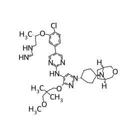 COCC(C)(C)COc1nn([C@H]2CC[C@H](N3[C@@H]4CC[C@H]3COC4)CC2)cc1Nc1ncc(-c2ccc(Cl)c(O[C@@H](C)CNC=N)c2)cn1